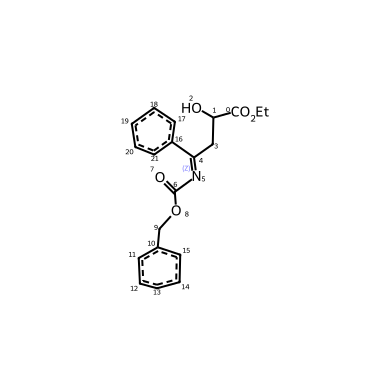 CCOC(=O)C(O)C/C(=N/C(=O)OCc1ccccc1)c1ccccc1